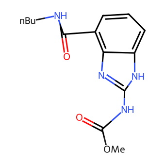 CCCCNC(=O)c1cccc2[nH]c(NC(=O)OC)nc12